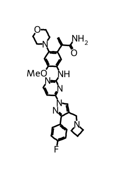 C=C(C(N)=O)c1cc(Nc2nccc(-n3cc(CN4CCC4)c(-c4ccc(F)cc4)n3)n2)c(OC)cc1N1CCOCC1